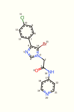 O=C(Cn1cnc(-c2ccc(Cl)cc2)c1Br)Nc1ccncc1